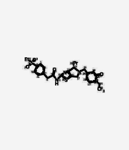 CCS(=O)(=O)c1ccc(CC(=O)Nc2nc3c(s2)CN(Cc2ccn(CC(F)(F)F)c(=O)c2)[C@H]3C(C)C)cc1